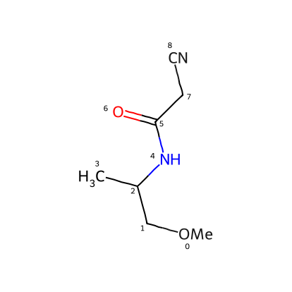 COCC(C)NC(=O)CC#N